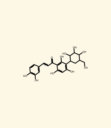 O=C(/C=C/c1ccc(O)c(O)c1)c1c(O)cc(O)c(C2CC(CO)C(O)C(O)C2O)c1O